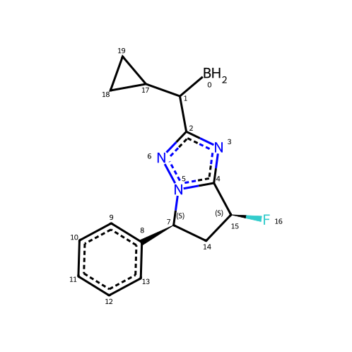 BC(c1nc2n(n1)[C@H](c1ccccc1)C[C@@H]2F)C1CC1